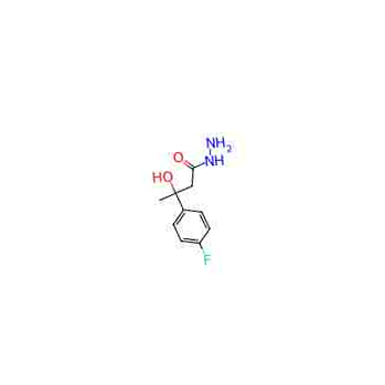 CC(O)(CC(=O)NN)c1ccc(F)cc1